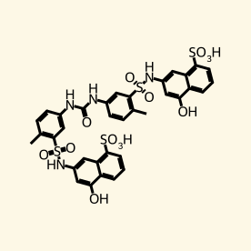 Cc1ccc(NC(=O)Nc2ccc(C)c(S(=O)(=O)Nc3cc(O)c4cccc(S(=O)(=O)O)c4c3)c2)cc1S(=O)(=O)Nc1cc(O)c2cccc(S(=O)(=O)O)c2c1